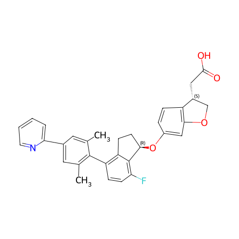 Cc1cc(-c2ccccn2)cc(C)c1-c1ccc(F)c2c1CC[C@H]2Oc1ccc2c(c1)OC[C@H]2CC(=O)O